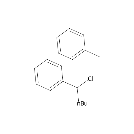 CCCCC(Cl)c1ccccc1.Cc1ccccc1